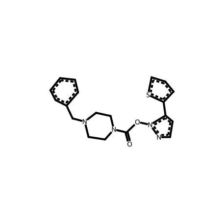 O=C(On1nccc1-c1cccs1)N1CCN(Cc2ccccc2)CC1